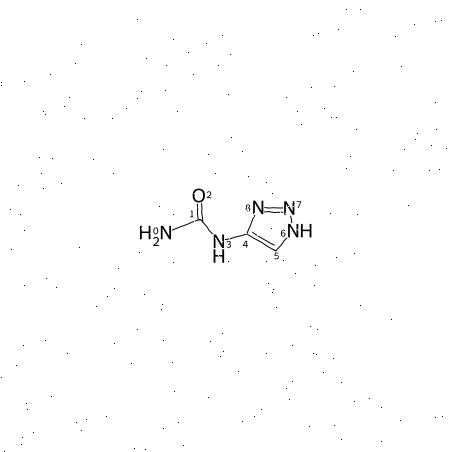 NC(=O)Nc1c[nH]nn1